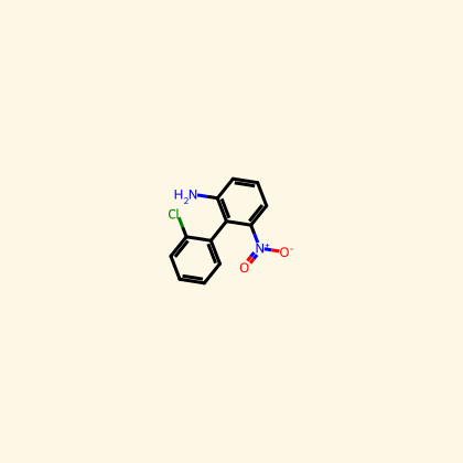 Nc1cccc([N+](=O)[O-])c1-c1ccccc1Cl